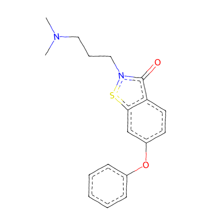 CN(C)CCCn1sc2cc(Oc3ccccc3)ccc2c1=O